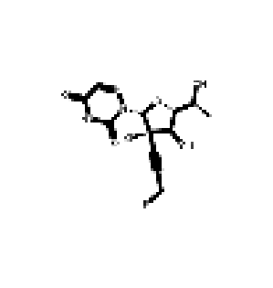 C[C@H](O)[C@H]1O[C@@H](n2ncc(=O)[nH]c2=O)[C@@](Cl)(C#CCF)C1O